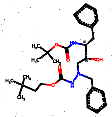 CC(C)(C)OC(=O)N[C@@H](Cc1ccccc1)[C@@H](O)CN(Cc1ccccc1)NC(=O)OCC[Si](C)(C)C